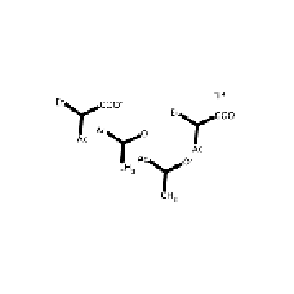 CC(=O)C(C)[O-].CC(=O)C(C)[O-].CCC(C(C)=O)C(=O)[O-].CCC(C(C)=O)C(=O)[O-].[Ti+4]